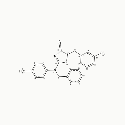 Cc1ccc(N(Cc2ccccc2)C2=NC(=O)C(Cc3cccc(C(F)(F)F)c3)S2)cc1